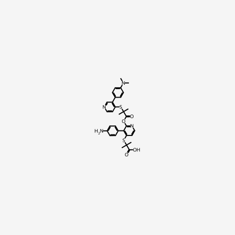 CN(C)c1ccc(-c2cnccc2SC(C)(C)C(=O)Oc2nccc(SC(C)(C)C(=O)O)c2-c2ccc(N)cc2)cc1